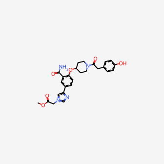 COC(=O)Cn1cnc(-c2ccc(OC3CCN(C(=O)Cc4ccc(O)cc4)CC3)c(C(N)=O)c2)c1